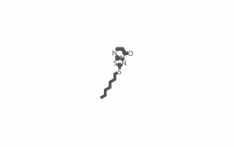 CCCCCCCSc1nn2c(=O)ccnc2s1